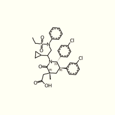 CCS(=O)(=O)N(CC(C1CC1)N1C(=O)[C@@](C)(CC(=O)O)C[C@H](c2cccc(Cl)c2)[C@H]1c1ccc(Cl)cc1)c1ccccc1